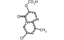 Cc1cc(Cl)cn2c(=O)c(OC(=O)O)cnc12